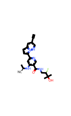 C#Cc1cnn2c(-c3cc(N[C@H](C)C#N)c(C(=O)NC[C@@H](F)C(C)(C)O)cn3)ccc2c1